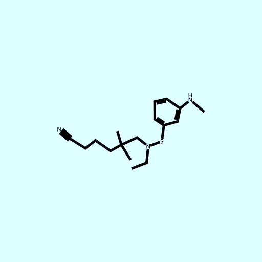 CCN(CC(C)(C)CCCC#N)Sc1cccc(NC)c1